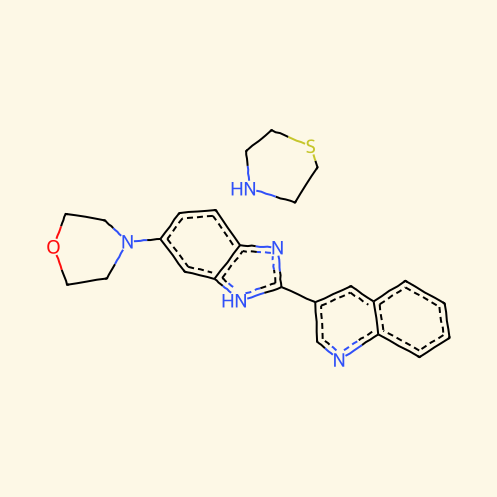 C1CSCCN1.c1ccc2ncc(-c3nc4ccc(N5CCOCC5)cc4[nH]3)cc2c1